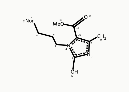 CCCCCCCCCCCCn1c(O)nc(C)c1C(=O)OC